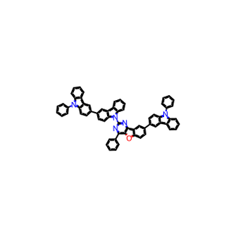 c1ccc(-c2nc(-n3c4ccccc4c4cc(-c5ccc6c(c5)c5ccccc5n6-c5ccccc5)ccc43)nc3c2oc2ccc(-c4ccc5c(c4)c4ccccc4n5-c4ccccc4)cc23)cc1